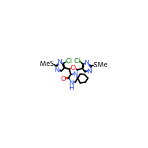 CSc1ncc(C2OC(c3cnc(SC)nc3Cl)N3C2C(=O)NCC32CCCCC2)c(Cl)n1